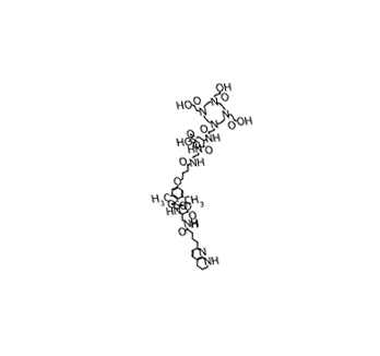 Cc1cc(OCCCC(=O)NCCNC(=O)C(CS(=O)(=O)O)NC(=O)CN2CCN(CC(=O)O)CCN(CC(=O)O)CCN(CC(=O)O)CC2)cc(C)c1S(=O)(=O)NC(CNC(=O)CCCc1ccc2c(n1)NCCC2)C(=O)O